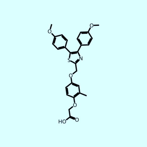 COc1ccc(-c2nc(COc3ccc(OCC(=O)O)c(C)c3)sc2-c2ccc(OC)cc2)cc1